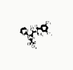 CC(c1nc(S(=O)(=O)C(F)(F)F)nn1-c1ncccn1)N(C)C(=O)c1cc(C(F)(F)F)cc(C(F)(F)F)c1